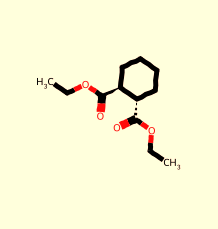 CCOC(=O)[C@H]1CCCC[C@@H]1C(=O)OCC